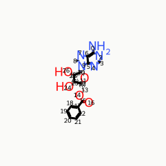 Nc1ncnc2c1ncn2[C@@H]1O[C@H](COC(=O)c2ccccc2)[C@@H](O)[C@@H]1O